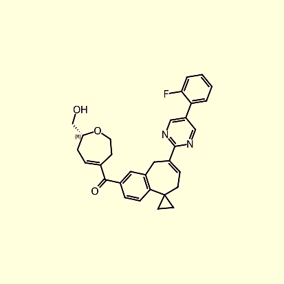 O=C(C1=CC[C@H](CO)OCC1)c1ccc2c(c1)CC(c1ncc(-c3ccccc3F)cn1)=CCC21CC1